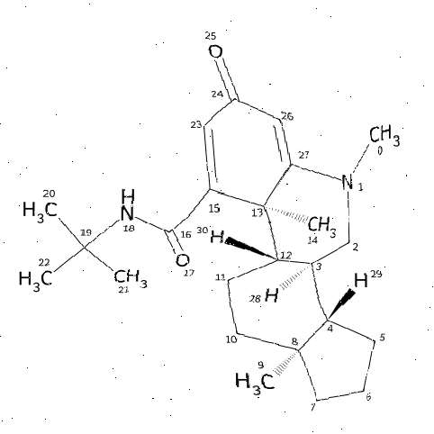 CN1C[C@H]2[C@@H]3CCC[C@@]3(C)CC[C@@H]2[C@@]2(C)C(C(=O)NC(C)(C)C)=CC(=O)C=C12